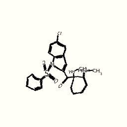 CNC1CCCCC1(NC)C(=O)c1cc2cc(Cl)ccc2n1S(=O)(=O)c1ccccc1